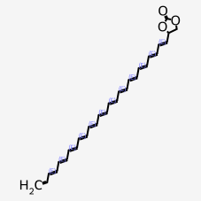 C=C/C=C/C=C/C=C/C=C/C=C/C=C/C=C/C=C/C=C/C=C/C=C/C=C/C1COC(=O)O1